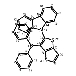 c1ccc(B(c2ccccc2)c2c(-n3c4ccccc4c4ccccc43)sc3ccsc23)cc1